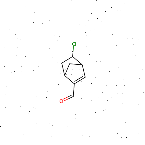 O=CC1=CC2CC1CC2Cl